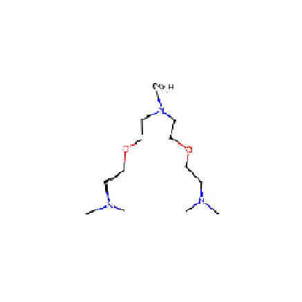 CN(C)CCOCCN(CCOCCN(C)C)C(=O)O